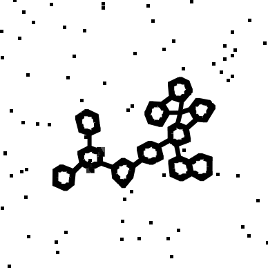 c1ccc(-c2cc(-c3ccccc3)nc(-c3cccc(-c4ccc(-c5cc6c(cc5-c5cccc7ccccc57)-c5ccccc5C65c6ccccc6-c6ccccc65)cc4)c3)n2)cc1